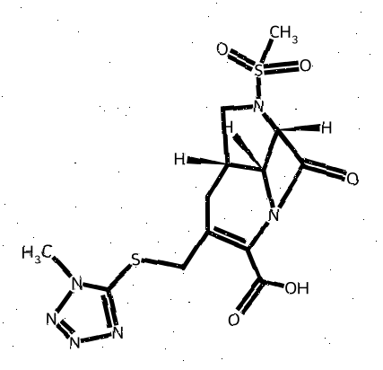 Cn1nnnc1SCC1=C(C(=O)O)N2C(=O)[C@@H]3[C@H]2[C@H](C1)CN3S(C)(=O)=O